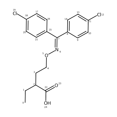 CCC(CCON=C(c1ccc(Cl)cc1)c1ccc(Cl)cc1)C(=O)O